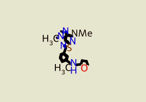 CNc1nc2sc(-c3cccc(C(C)NCC4CCCO4)c3)nc2c2c1ncn2C